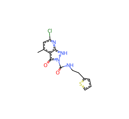 Cc1cc(Cl)nc2[nH]n(C(=O)NCCc3cccs3)c(=O)c12